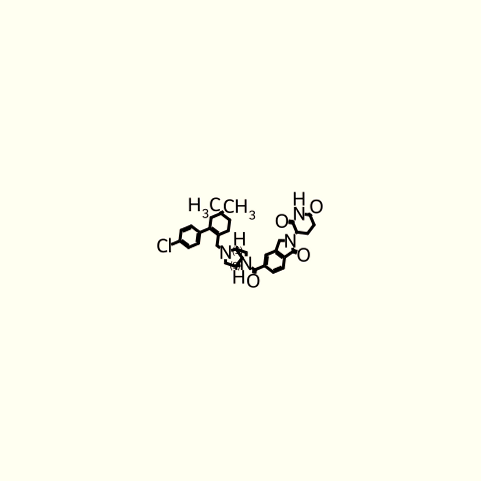 CC1(C)CCC(CN2C[C@@H]3C[C@H]2CN3C(=O)c2ccc3c(c2)CN(C2CCC(=O)NC2=O)C3=O)=C(c2ccc(Cl)cc2)C1